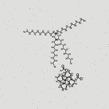 CC(=O)[O-].CC(=O)[O-].CCCCCCCCCCCC[P+](CCCCCCCCCCCC)(CCCCCCCCCCCC)CCCCCCCCCCCC.Cc1ccccc1[P+](c1ccccc1C)(c1ccccc1C)c1ccccc1C